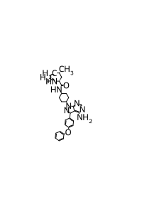 CN[C@@H](CC(C)C)C(=O)NC1CCC(n2nc(-c3ccc(Oc4ccccc4)cc3)c3c(N)ncnc32)CC1